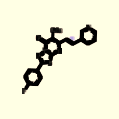 CC(=O)Oc1c(/C=C/c2cccnc2)nc2sc(-c3ccc(F)cc3)nn2c1=O